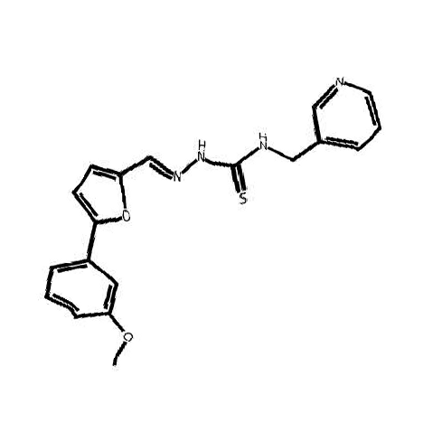 COc1cccc(-c2ccc(C=NNC(=S)NCc3cccnc3)o2)c1